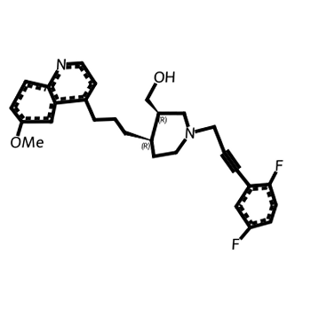 COc1ccc2nccc(CCC[C@@H]3CCN(CC#Cc4cc(F)ccc4F)C[C@@H]3CO)c2c1